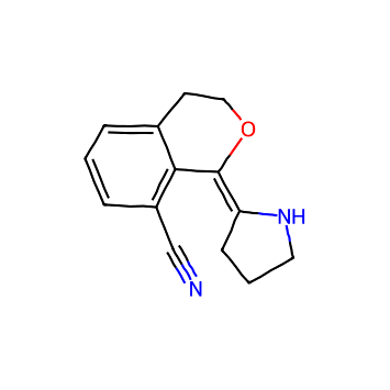 N#Cc1cccc2c1/C(=C1\CCCN1)OCC2